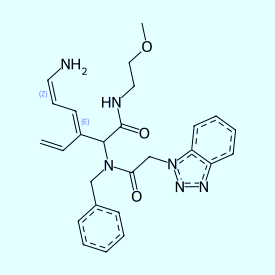 C=C/C(=C\C=C/N)C(C(=O)NCCOC)N(Cc1ccccc1)C(=O)Cn1nnc2ccccc21